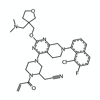 C=CC(=O)N1CCN(c2nc(OCC3(CN(C)C)CCOC3)nc3c2CCN(c2cccc4ccc(F)c(Cl)c24)C3)CC1CC#N